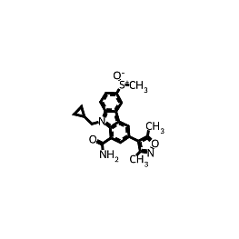 Cc1noc(C)c1-c1cc(C(N)=O)c2c(c1)c1cc([S+](C)[O-])ccc1n2CC1CC1